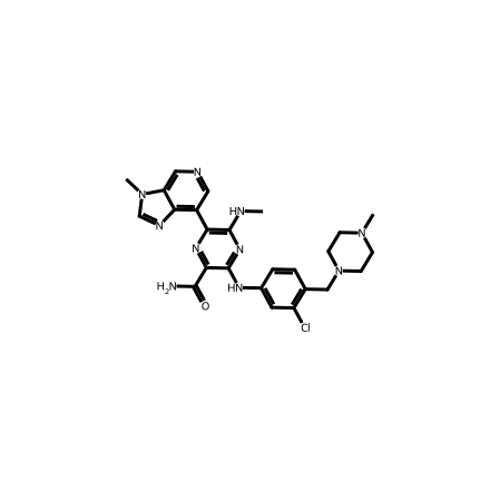 CNc1nc(Nc2ccc(CN3CCN(C)CC3)c(Cl)c2)c(C(N)=O)nc1-c1cncc2c1ncn2C